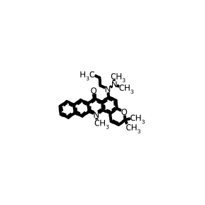 CCCN(c1cc2c(c3c1c(=O)c1cc4ccccc4cc1n3C)C=CC(C)(C)O2)N(C)C